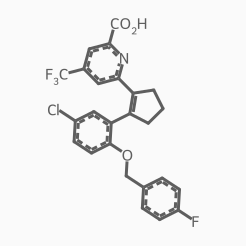 O=C(O)c1cc(C(F)(F)F)cc(C2=C(c3cc(Cl)ccc3OCc3ccc(F)cc3)CCC2)n1